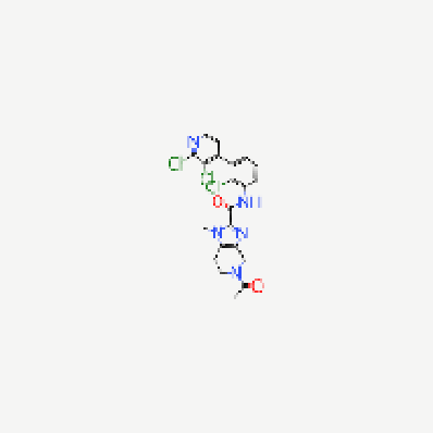 CC(=O)N1CCc2c(nc(C(=O)Nc3cccc(-c4ccnc(Cl)c4Cl)c3Cl)n2C)C1